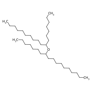 CCCCCCCCCCC(CCCCCCC)OC(CCCCCCC)CCCCCCCCCC